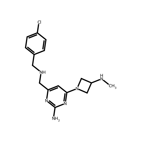 CNC1CN(c2cc(CNCc3ccc(Cl)cc3)nc(N)n2)C1